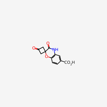 O=C1CC2(C1)Oc1ccc(C(=O)O)cc1NC2=O